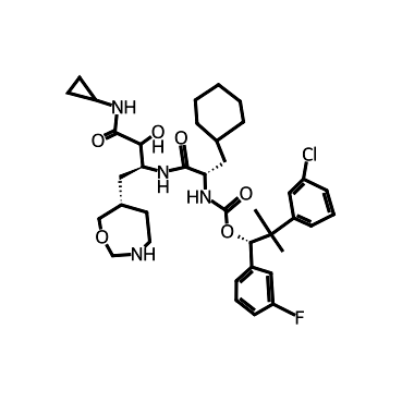 CC(C)(c1cccc(Cl)c1)[C@@H](OC(=O)N[C@@H](CC1CCCCC1)C(=O)N[C@@H](C[C@@H]1CCNCOC1)C(O)C(=O)NC1CC1)c1cccc(F)c1